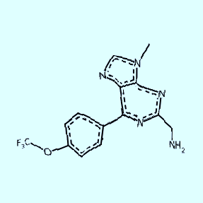 Cn1cnc2c(-c3ccc(OC(F)(F)F)cc3)nc(CN)nc21